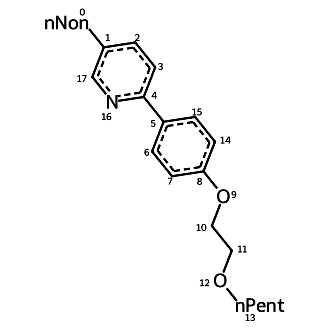 CCCCCCCCCc1ccc(-c2ccc(OCCOCCCCC)cc2)nc1